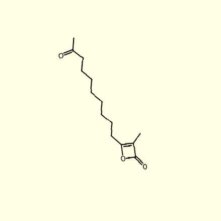 CC(=O)CCCCCCCCC1=C(C)C(=O)O1